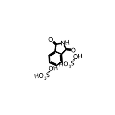 O=C1NC(=O)c2ccccc21.O=S(=O)(O)O.O=S(=O)(O)O